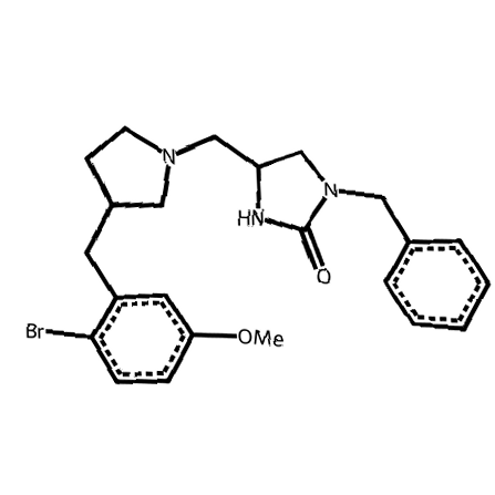 COc1ccc(Br)c(CC2CCN(CC3CN(Cc4ccccc4)C(=O)N3)C2)c1